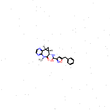 CN1C(=O)[C@@H](NC(O)c2cc(Cc3ccccc3)on2)[C@H]2C[C@H]2c2nccnc21